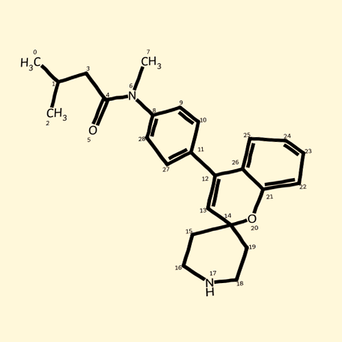 CC(C)CC(=O)N(C)c1ccc(C2=CC3(CCNCC3)Oc3ccccc32)cc1